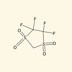 O=S1(=O)CS(=O)(=O)C(F)(F)C1(F)F